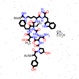 CC(=O)O.CNC(=N)NCCCC(NC(=O)[C@](CC(C)C)(NC(=O)NN)C(=O)C(Cc1ccccc1)NC(=O)C(NC(=O)C(CC(N)=O)NC(=O)[C@@H]1C[C@@H](O)CN1C(=O)C(Cc1ccc(O)cc1)NC(C)=O)C(C)O)C(=O)NC(Cc1c[nH]c2ccccc12)C(N)=O